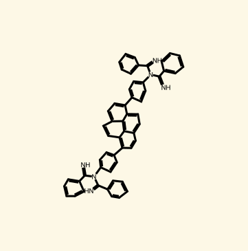 N=C(c1ccccc1)N(C(=N)c1ccccc1)c1ccc(-c2ccc3ccc4c(-c5ccc(N(C(=N)c6ccccc6)C(=N)c6ccccc6)cc5)ccc5ccc2c3c54)cc1